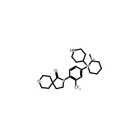 C[C@H]1CCCC[N+]1(c1ccc(N2CCC3(CCOCC3)C2=O)c(C(F)(F)F)c1)C1CCNCC1